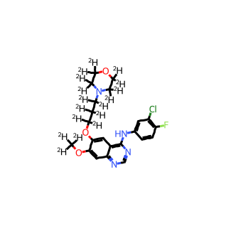 [2H]C([2H])([2H])Oc1cc2ncnc(Nc3ccc(F)c(Cl)c3)c2cc1OC([2H])([2H])C([2H])([2H])C([2H])([2H])N1C([2H])([2H])C([2H])([2H])OC([2H])([2H])C1([2H])[2H]